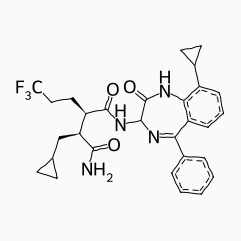 NC(=O)[C@@H](CC1CC1)[C@@H](CCC(F)(F)F)C(=O)NC1N=C(c2ccccc2)c2cccc(C3CC3)c2NC1=O